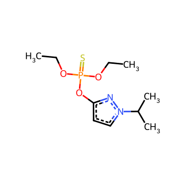 CCOP(=S)(OCC)Oc1ccn(C(C)C)n1